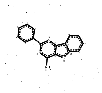 Nc1nc(-c2ccccc2)nc2c1sc1ccccc12